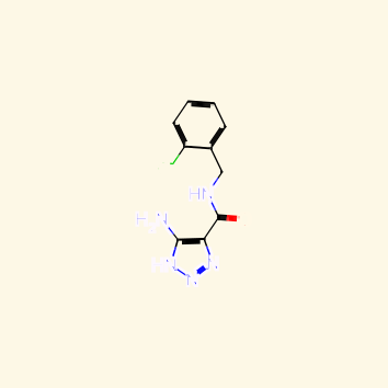 Nc1[nH]nnc1C(=O)NCc1ccccc1Cl